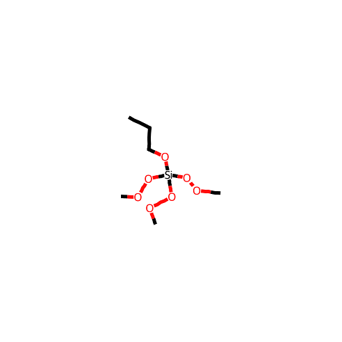 CCCO[Si](OOC)(OOC)OOC